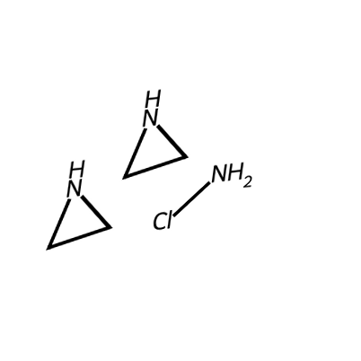 C1CN1.C1CN1.NCl